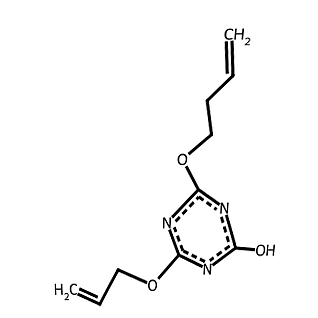 C=CCCOc1nc(O)nc(OCC=C)n1